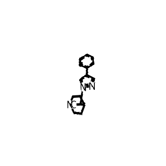 c1ccc(-c2cnn(C3CN4CCC3CC4)c2)cc1